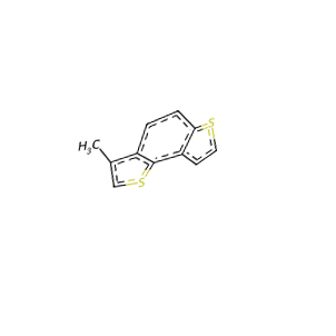 Cc1csc2c1ccc1sccc12